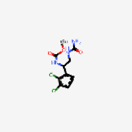 CC(C)(C)OC(=O)NC(CNC(N)=O)c1cccc(Cl)c1Cl